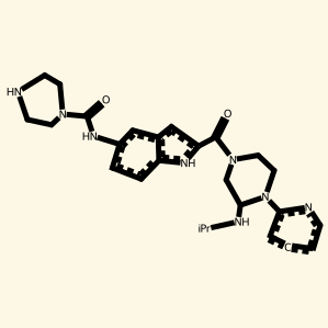 CC(C)NC1CN(C(=O)c2cc3cc(NC(=O)N4CCNCC4)ccc3[nH]2)CCN1c1ccccn1